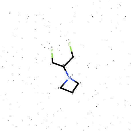 FCC(CF)N1C[CH]C1